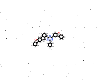 CC1(C)c2cc3c(cc2-c2cccc(-c4nc(-c5ccccc5)nc(-c5ccc6oc7ccccc7c6c5)n4)c21)oc1ccccc13